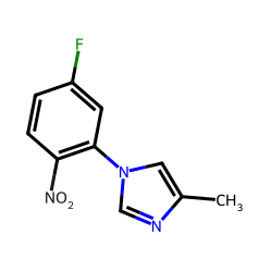 Cc1cn(-c2cc(F)ccc2[N+](=O)[O-])cn1